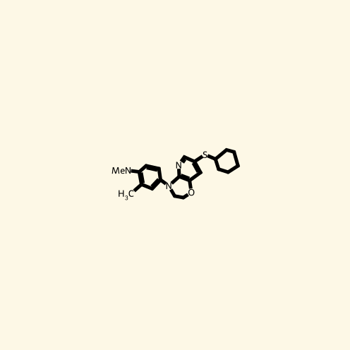 CNc1ccc(N2CCOc3cc(SC4CCCCC4)cnc32)cc1C